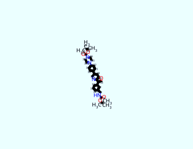 CC(C)(C)OC(=O)NCc1cccc(-c2coc3cc(-c4ccc(N5CCN(C(=O)OC(C)(C)C)CC5)cc4)cnc23)c1